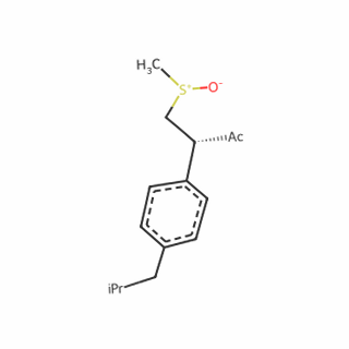 CC(=O)[C@@H](C[S+](C)[O-])c1ccc(CC(C)C)cc1